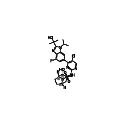 CC(C)n1c(C(C)(C)O)nc2c(F)cc(-c3nc(N[C@H]4C[C@@H]5CC[C@H]([C@@H]4O)N5S(C)(=O)=O)ncc3Cl)cc21